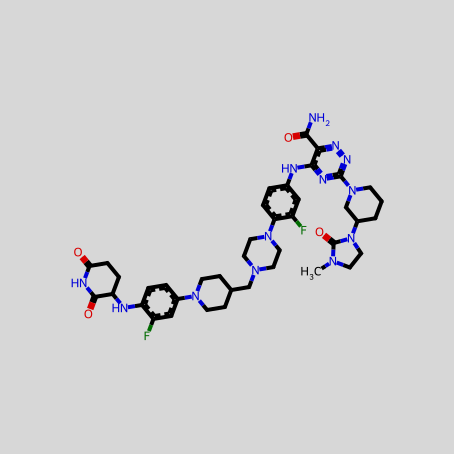 CN1CCN(C2CCCN(c3nnc(C(N)=O)c(Nc4ccc(N5CCN(CC6CCN(c7ccc(NC8CCC(=O)NC8=O)c(F)c7)CC6)CC5)c(F)c4)n3)C2)C1=O